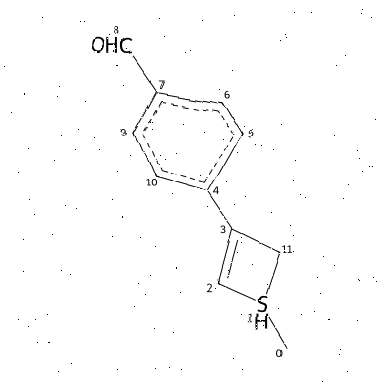 C[SH]1C=C(c2ccc(C=O)cc2)C1